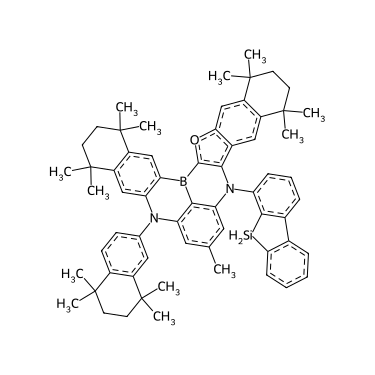 Cc1cc2c3c(c1)N(c1cccc4c1[SiH2]c1ccccc1-4)c1c(oc4cc5c(cc14)C(C)(C)CCC5(C)C)B3c1cc3c(cc1N2c1ccc2c(c1)C(C)(C)CCC2(C)C)C(C)(C)CCC3(C)C